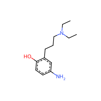 CCN(CC)CCCc1cc(N)ccc1O